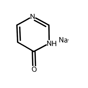 O=c1ccnc[nH]1.[Na]